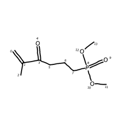 C=C(C)C(=O)CCCP(=O)(OC)OC